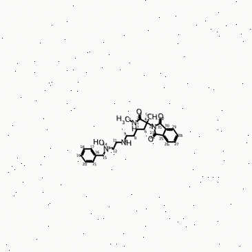 CNC(=O)C(C)(CCCCNCC=[N+](O)Cc1ccccc1)N1C(=O)c2ccccc2C1=O